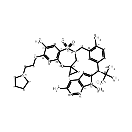 Cc1cc2cc([C@@H](c3ccc(C)c(CN4CC5(CC5)Oc5nc(OCCN6CCCC6)c(C)cc5S4(=O)=O)c3)C(C)(C)C(=O)O)n(C)c2nn1